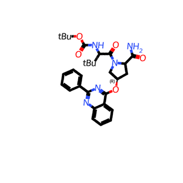 CC(C)(C)OC(=O)NC(C(=O)N1C[C@H](Oc2nc(-c3ccccc3)nc3ccccc23)CC1C(N)=O)C(C)(C)C